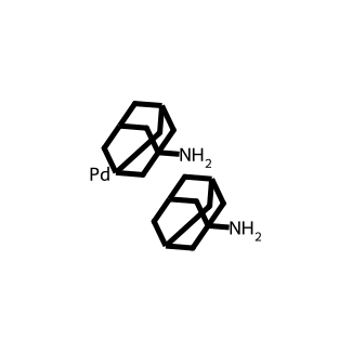 NC12CC3CC(CC(C3)C1)C2.NC12CC3CC(CC(C3)C1)C2.[Pd]